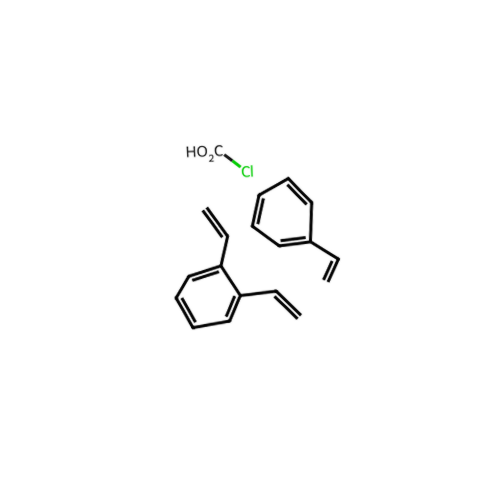 C=Cc1ccccc1.C=Cc1ccccc1C=C.O=C(O)Cl